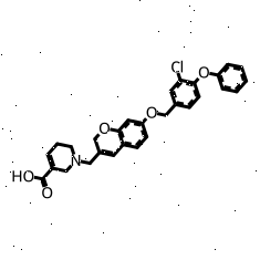 O=C(O)C1=CCCN(CC2=Cc3ccc(OCc4ccc(Oc5ccccc5)c(Cl)c4)cc3OC2)C1